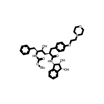 CC(C)(C)OC(=O)N[C@@H](Cc1ccccc1)[C@@H](O)C[C@@H](Cc1ccc(OCCN2CCOCC2)cc1)C(=O)N[C@H]1c2ccccc2[C@@H](O)[C@H]1O